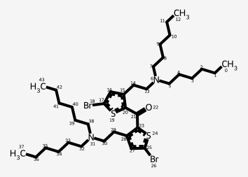 CCCCCCN(CCCCCC)CCc1cc(Br)sc1C(=O)c1sc(Br)cc1CCN(CCCCCC)CCCCCC